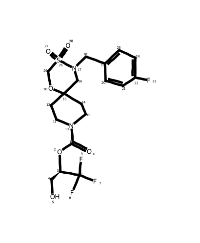 O=C(O[C@H](CO)C(F)(F)F)N1CCC2(CC1)CN(Cc1ccc(F)cc1)S(=O)(=O)CO2